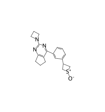 [O-][S+]1CC(c2cccc(-c3nc(N4CCC4)nc4c3CCC4)c2)C1